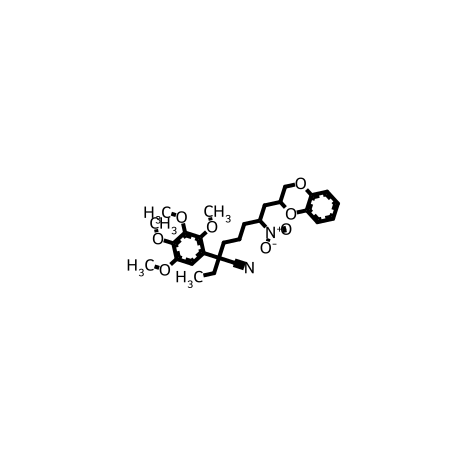 CCC(C#N)(CCCC(CC1COc2ccccc2O1)[N+](=O)[O-])c1cc(OC)c(OC)c(OC)c1OC